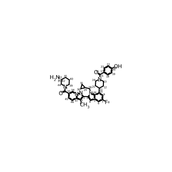 Cc1c(-c2cc3cc(F)cc(C4CCN(C(=O)c5ccc(O)cc5)CC4)c3n2CC2CC2)nn2cc(C(=O)N3CCC[C@@H](N)C3)ccc12